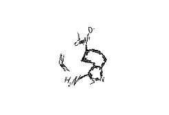 N#N.Nc1snc2ccc([N+](=O)[O-])cc12